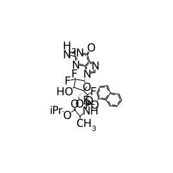 CC(C)OC(=O)[C@H](C)NP(=O)(OC[C@@]1(C(F)F)O[C@@H](n2cnc3c(=O)[nH]c(N)nc32)C(F)(F)[C@@H]1O)Oc1cccc2ccccc12